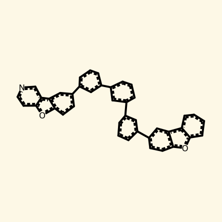 c1cc(-c2cccc(-c3ccc4oc5ccccc5c4c3)c2)cc(-c2cccc(-c3ccc4oc5ccncc5c4c3)c2)c1